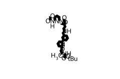 C[C@@H](COc1cccc(-c2cccc(CNCCC3CN(c4ccc5c(n4)NC(=O)CO5)C(=O)O3)c2)n1)NC(=O)OC(C)(C)C